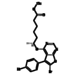 CCc1ccc(-c2c(Br)oc3ncnc(O[C@H](C)CCCCC(=O)OC(C)(C)C)c23)cc1